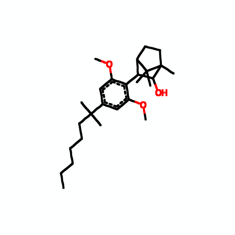 CCCCCCC(C)(C)c1cc(OC)c(C2C3CCC(C)(C2O)C3(C)C)c(OC)c1